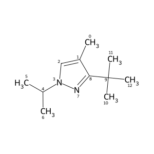 Cc1cn(C(C)C)nc1C(C)(C)C